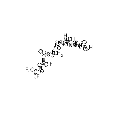 CNC(CN1CCC(N(C(=O)O)c2ccccc2-c2ccccc2)CC1)C(=O)[C@H](C)Nc1ccc(C(=O)N(C)CCCN(C)C(=O)CO[C@H]2Cc3ccccc3C23CCN(CC[C@]2(c4ccc(F)cc4)CN(C(=O)c4cc(C(F)(F)F)cc(C(F)(F)F)c4)CO2)CC3)cc1